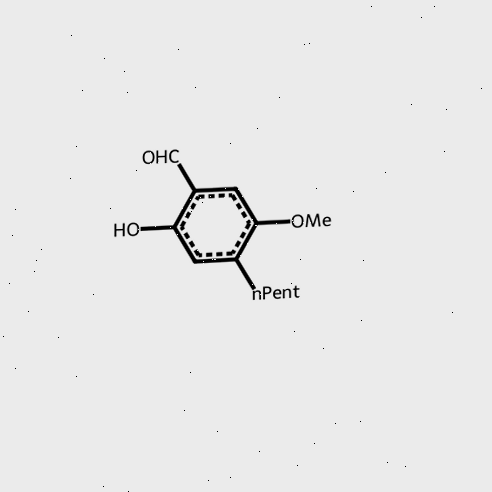 CCCCCc1cc(O)c(C=O)cc1OC